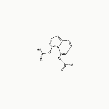 O=C(S)Oc1cccc2cccc(OC(=O)S)c12